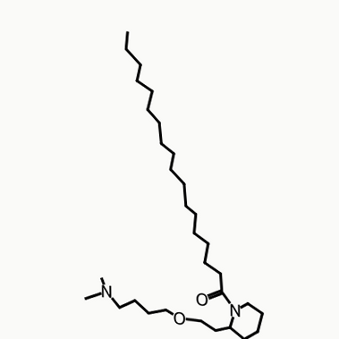 CCCCCCCCCCCCCCCCCC(=O)N1CCCCC1CCOCCCCN(C)C